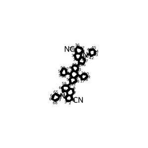 N#Cc1ccc2c3c1ccc1c(-c4ccc5c(-c6ccccc6)c6cc(-c7ccc8c9c7ccc7c(C#N)ccc(c79)n8-c7ccccc7)ccc6c(-c6ccccc6)c5c4)ccc(c13)n2-c1ccccc1